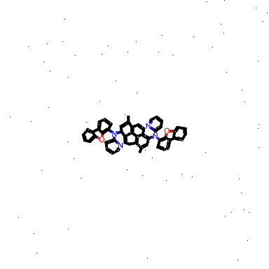 CC1=CC(N(c2ccccn2)c2cccc3c2oc2ccccc23)C2=CCc3c(C)cc(N(c4ccccn4)c4cccc5c4oc4ccccc45)c4ccc1c2c34